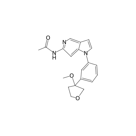 COC1(c2cccc(-n3ccc4cnc(NC(C)=O)cc43)c2)CCOC1